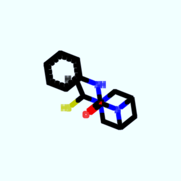 CC(S)N1CC2CC(C1)N2C(=O)Nc1ccccc1